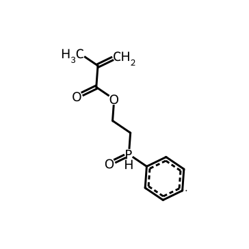 C=C(C)C(=O)OCC[PH](=O)c1cc[c]cc1